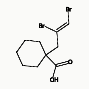 O=C(O)C1(CC(Br)=CBr)CCCCC1